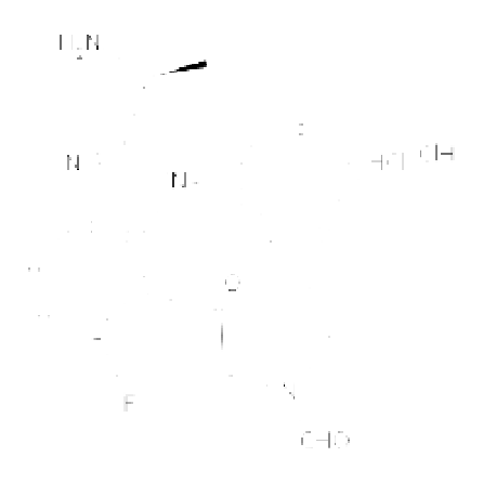 C[C@H](N)c1nc2ccc(F)c(C3CN(C=O)CCO3)c2n1-c1ccccc1.Cl.Cl